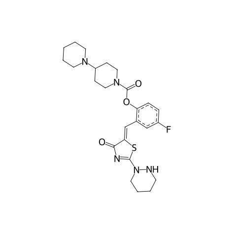 O=C1N=C(N2CCCCN2)S/C1=C\c1cc(F)ccc1OC(=O)N1CCC(N2CCCCC2)CC1